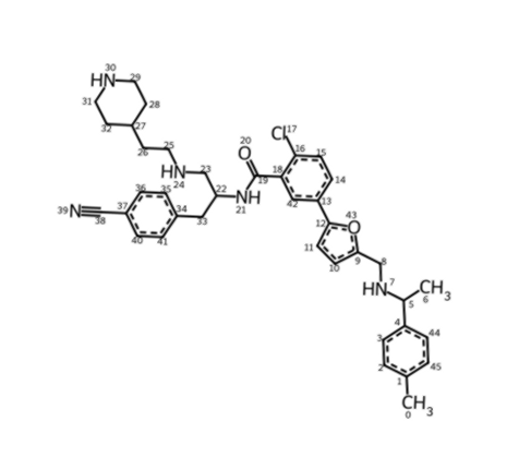 Cc1ccc(C(C)NCc2ccc(-c3ccc(Cl)c(C(=O)NC(CNCCC4CCNCC4)Cc4ccc(C#N)cc4)c3)o2)cc1